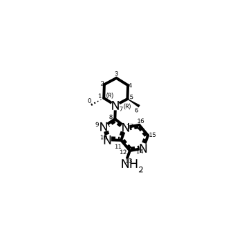 C[C@@H]1CCC[C@@H](C)N1c1nnc2c(N)nccn12